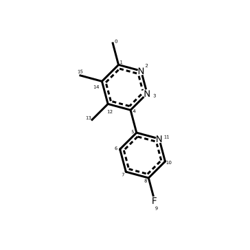 Cc1nnc(-c2ccc(F)cn2)c(C)c1C